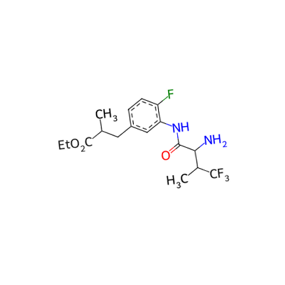 CCOC(=O)C(C)Cc1ccc(F)c(NC(=O)C(N)C(C)C(F)(F)F)c1